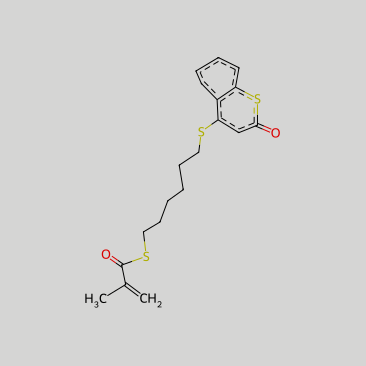 C=C(C)C(=O)SCCCCCCSc1cc(=O)sc2ccccc12